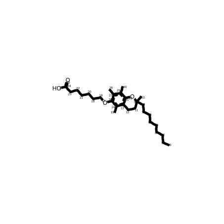 CCCCCCCCCC1(C)CCc2c(C)c(OCCCCCCC(=O)O)c(C)c(C)c2O1